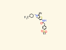 CCS(=O)(=O)c1ccc(CC(=O)Nc2cc3c(s2)[C@H](C(C)C)N(C[C@H]2CC[C@H](C(F)(F)F)CC2)C3)cc1